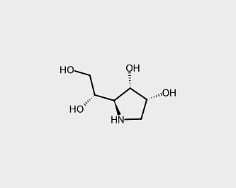 OC[C@@H](O)[C@@H]1NC[C@@H](O)[C@H]1O